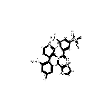 COc1cc(F)ccc1-c1ccncc1N(Cc1ncco1)C(=O)c1cc(C(F)(F)F)cc(S(C)(=O)=O)c1